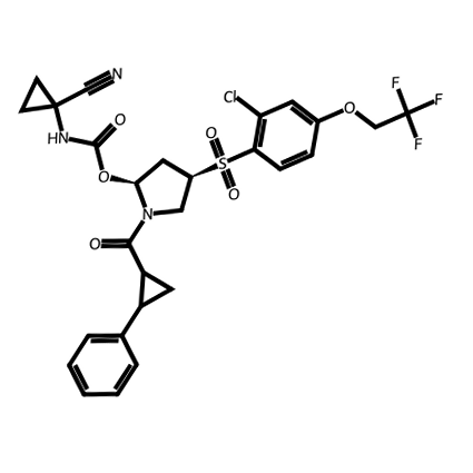 N#CC1(NC(=O)O[C@H]2C[C@@H](S(=O)(=O)c3ccc(OCC(F)(F)F)cc3Cl)CN2C(=O)C2CC2c2ccccc2)CC1